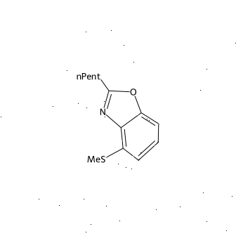 CCCCCc1nc2c(SC)cccc2o1